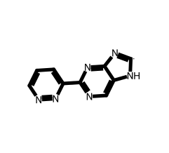 [c]1nc2nc(-c3cccnn3)ncc2[nH]1